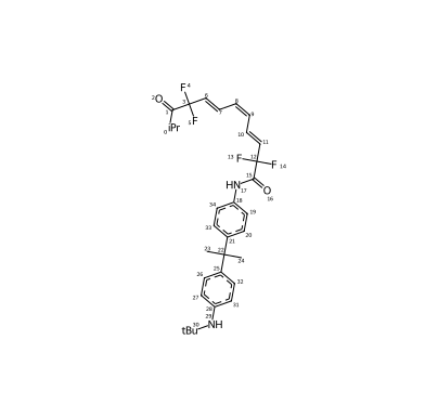 CC(C)C(=O)C(F)(F)/C=C/C=C\C=C\C(F)(F)C(=O)Nc1ccc(C(C)(C)c2ccc(NC(C)(C)C)cc2)cc1